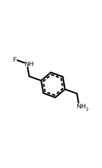 NCc1ccc(CNF)cc1